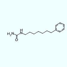 NC(=O)NCCCCCCCc1ccccc1